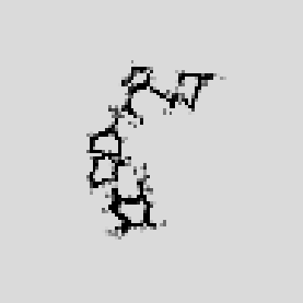 O=C(NC1CCC2(CCCN(c3cc(F)c(F)cc3Cl)C2=O)CC1)c1[nH]cnc1C(=O)N1CC(F)C1